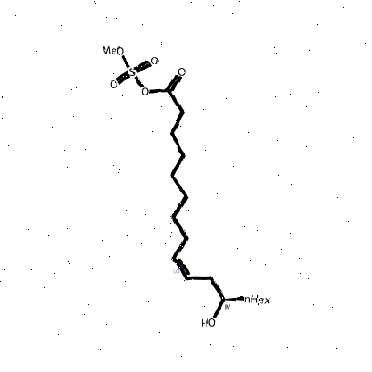 CCCCCC[C@@H](O)C/C=C\CCCCCCCC(=O)OS(=O)(=O)OC